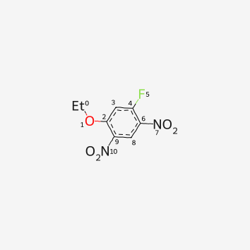 CCOc1cc(F)c([N+](=O)[O-])cc1[N+](=O)[O-]